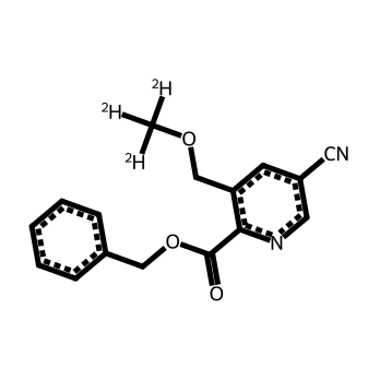 [2H]C([2H])([2H])OCc1cc(C#N)cnc1C(=O)OCc1ccccc1